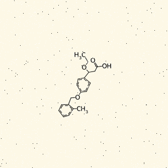 CCOC(CC(=O)O)c1ccc(OCc2ccccc2C)cc1